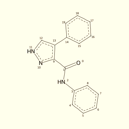 O=C(Nc1ccccc1)c1n[nH]cc1-c1ccccc1